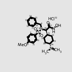 COc1ccc(S(=O)(=O)N(Cc2ccccc2)C(C(=O)NO)[C@H]2CC[C@H](N(C)C)CC2)cc1.Cl